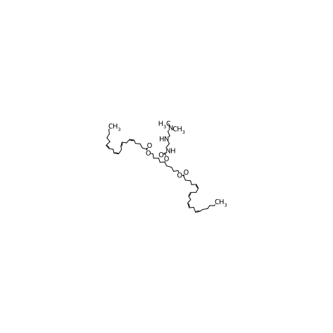 CCCCC/C=C\C/C=C\C/C=C\C/C=C\CCCC(=O)OCCCCC(CCCCOC(=O)CCC/C=C\C/C=C\C/C=C\C/C=C\CCCCC)OC(=O)NCCNCCN(C)C